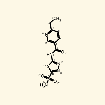 CCc1ccc(C(=O)Nc2nnc(S(N)(=O)=O)s2)cn1